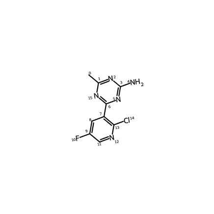 Cc1nc(N)nc(-c2cc(F)cnc2Cl)n1